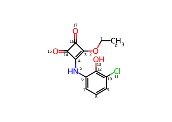 CCOc1c(Nc2cccc(Cl)c2O)c(=O)c1=O